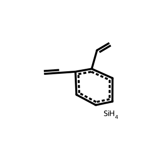 C=Cc1ccccc1C=C.[SiH4]